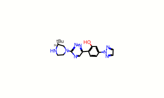 CC(C)(C)[C@H]1CN(c2ncc(-c3ccc(-n4nccn4)cc3O)nn2)CCN1